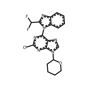 FC(F)c1nc2ccccc2n1-c1nc(Cl)nc2c1ncn2C1CCCCO1